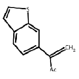 C=C(C(C)=O)c1ccc2ccsc2c1